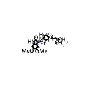 CC/C(Nc1ccc(OCCN(C)C)cc1)=C1/C(=O)Nc2cc(OC)c(OC)cc21